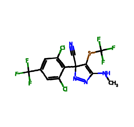 CNC1=C(SC(F)(F)F)C(C#N)(c2c(Cl)cc(C(F)(F)F)cc2Cl)N=N1